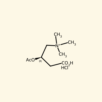 CC(=O)O[C@H](CC(=O)O)C[N+](C)(C)C.Cl